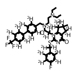 [2H]c1c([2H])c(C([2H])([2H])Sc2nc(=O)c3c(n2C([2H])([2H])C(=O)N(CCN(CC)CC)Cc2c([2H])c([2H])c(-c4c([2H])c([2H])c(C(F)(F)F)c([2H])c4[2H])c([2H])c2[2H])C([2H])([2H])C([2H])(C)C3([2H])[2H])c([2H])c([2H])c1F